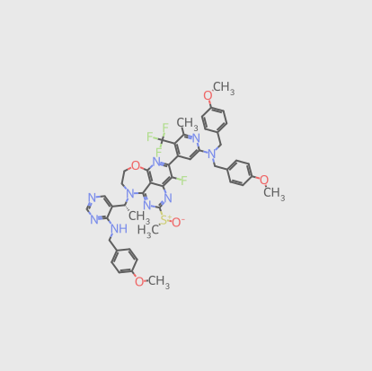 COc1ccc(CNc2ncncc2[C@@H](C)N2CCOc3nc(-c4cc(N(Cc5ccc(OC)cc5)Cc5ccc(OC)cc5)nc(C)c4C(F)(F)F)c(F)c4nc([S+](C)[O-])nc2c34)cc1